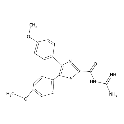 COc1ccc(-c2nc(C(=O)NC(=N)N)sc2-c2ccc(OC)cc2)cc1